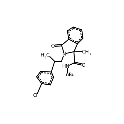 CCCCNC(=O)C1(C)c2ccccc2C(=O)N1CC(C)c1ccc(Cl)cc1